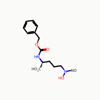 O=NN(O)CCC[C@H](NC(=O)OCc1ccccc1)C(=O)O